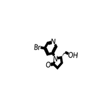 O=C1CC[C@@H](CO)N1c1cncc(Br)c1